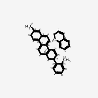 C1=Cc2ccccc2OC1.CC1=Cc2ccc3c(c2=CC1)=CCC1=C3C=CC(c2ccccc2C)C1